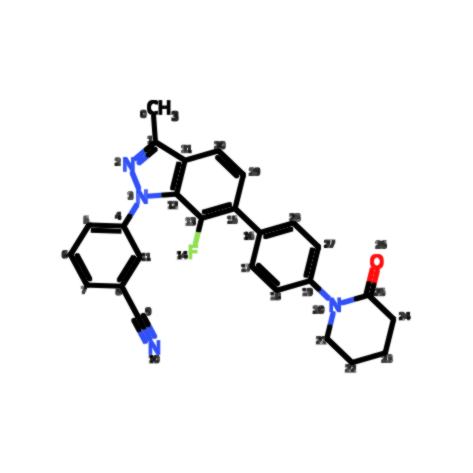 Cc1nn(-c2cccc(C#N)c2)c2c(F)c(-c3ccc(N4CCCCC4=O)cc3)ccc12